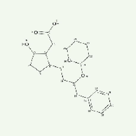 O=C(O)CC1C(O)CCC1CCC(Cc1ccccc1)OC1CCCCO1